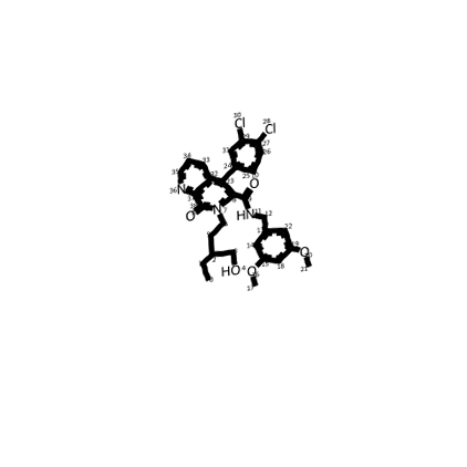 CCC(CO)CCn1c(C(=O)NCc2cc(OC)cc(OC)c2)c(-c2ccc(Cl)c(Cl)c2)c2cccnc2c1=O